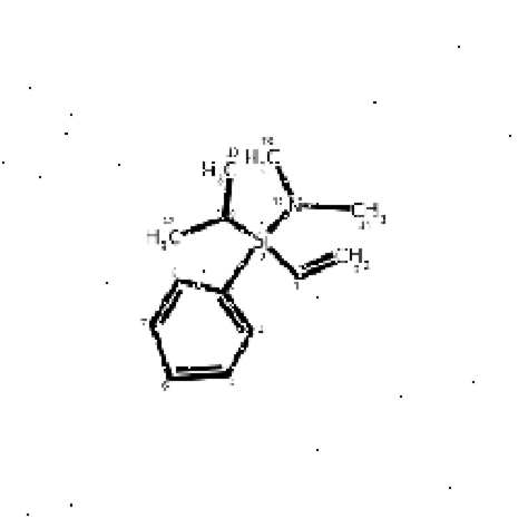 C=C[Si](c1ccccc1)(C(C)C)N(C)C